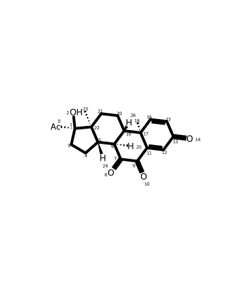 CC(=O)[C@@]1(O)CC[C@H]2[C@@H]3C(=O)C(=O)C4=CC(=O)C=C[C@]4(C)[C@H]3CC[C@@]21C